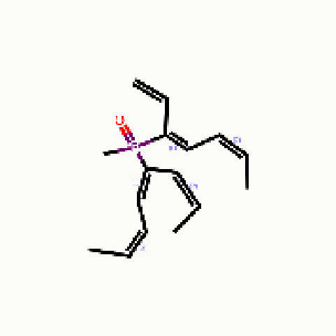 C=C/C(=C\C=C/C)P(C)(=O)C(/C=C\C)=C/C=C\C